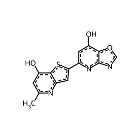 Cc1cc(O)c2sc(-c3cc(O)c4ocnc4n3)cc2n1